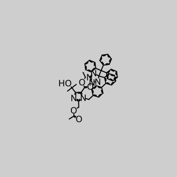 CCOC(=O)c1c(C(C)(C)O)nc(COC(C)=O)n1Cc1ccc(-c2ccccc2C2(C(c3ccccc3)(c3ccccc3)c3ccccc3)N=NN=N2)cc1